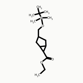 CCOC(=O)C1C2CC(CO[Si](C)(C)C(C)(C)C)CC21